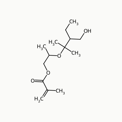 C=C(C)C(=O)OCC(C)OC(C)(C)C(CC)CO